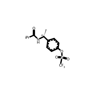 CC(C)C(=O)N[C@H](C)c1ccc(OS(=O)(=O)C(F)(F)F)cc1